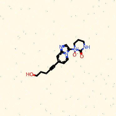 O=C1NCCC[N+]1([O-])c1cnc2cc(C#CCCCO)ccn12